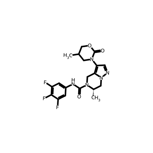 CC1COC(=O)N(c2cnn3c2CN(C(=O)Nc2cc(F)c(F)c(F)c2)[C@@H](C)C3)C1